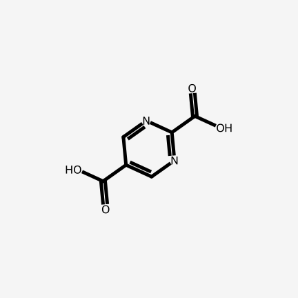 O=C(O)c1cnc(C(=O)O)nc1